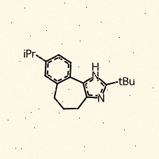 CC(C)c1ccc2c(c1)CCCc1nc(C(C)(C)C)[nH]c1-2